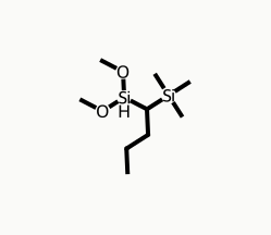 CCCC([SiH](OC)OC)[Si](C)(C)C